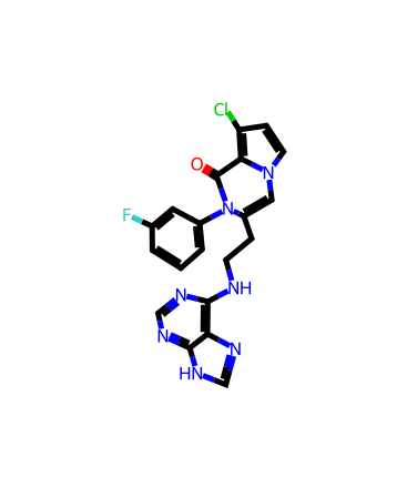 O=c1c2c(Cl)ccn2cc(CCNc2ncnc3[nH]cnc23)n1-c1cccc(F)c1